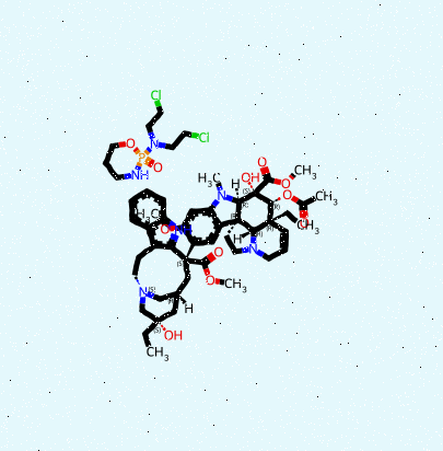 CC[C@]1(O)C[C@@H]2C[N@@](CCc3c([nH]c4ccccc34)[C@@](C(=O)OC)(c3cc4c(cc3OC)N(C)[C@H]3[C@@](O)(C(=O)OC)[C@H](OC(C)=O)[C@]5(CC)C=CCN6CC[C@]43[C@@H]65)C2)C1.O=P1(N(CCCl)CCCl)NCCCO1